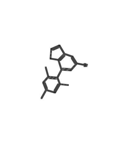 Cc1cc(C)c(-c2cc(Br)cc3c2CC=C3)c(C)c1